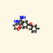 N=C1NC2(CCCOO2)c2ccc(Oc3ccccc3)cc21